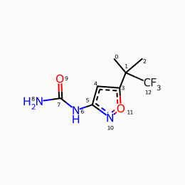 CC(C)(c1cc(NC(N)=O)no1)C(F)(F)F